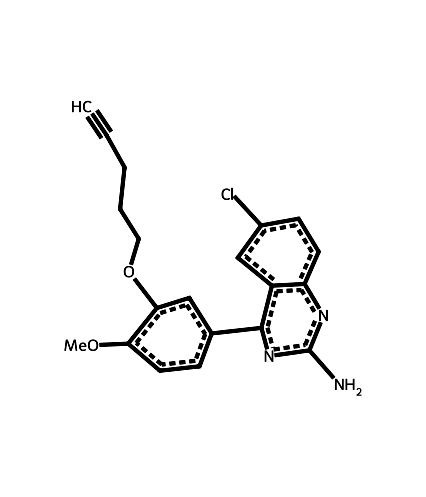 C#CCCCOc1cc(-c2nc(N)nc3ccc(Cl)cc23)ccc1OC